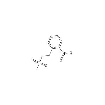 CS(=O)(=O)CCc1ccccc1[N+](=O)[O-]